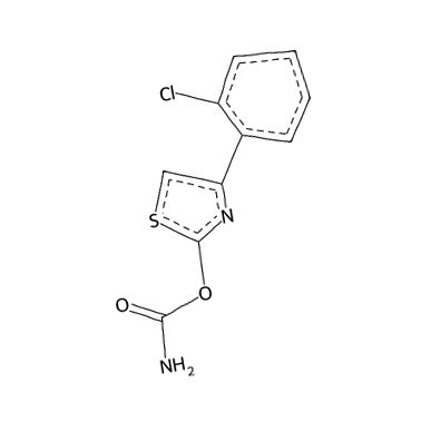 NC(=O)Oc1nc(-c2ccccc2Cl)cs1